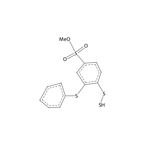 COS(=O)(=O)c1ccc(SS)c(Sc2ccccc2)c1